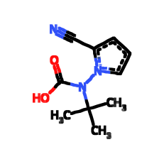 CC(C)(C)N(C(=O)O)n1cccc1C#N